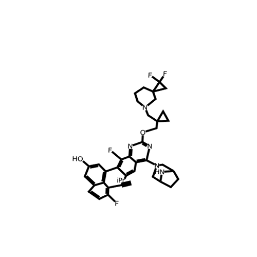 C#Cc1c(F)ccc2cc(O)cc(-c3c(C(C)C)cc4c(N5CC6CCC(C5)N6)nc(OCC5(CN6CCCC7(C6)CC7(F)F)CC5)nc4c3F)c12